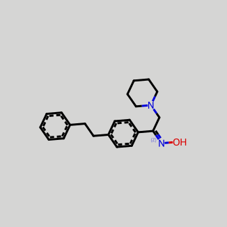 O/N=C(\CN1CCCCC1)c1ccc(CCc2ccccc2)cc1